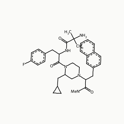 CNC(=O)C(Cc1ccc2ccccc2c1)N1CCN(C(=O)C(Cc2ccc(F)cc2)NC(=O)C(C)(C)N)C(CC2CC2)C1